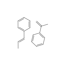 C=C(C)c1ccccc1.CC=Cc1ccccc1